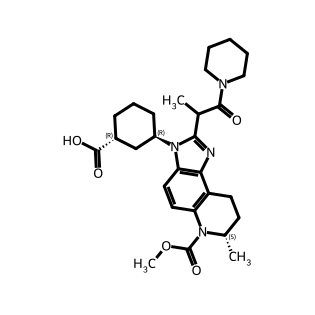 COC(=O)N1c2ccc3c(nc(C(C)C(=O)N4CCCCC4)n3[C@@H]3CCC[C@@H](C(=O)O)C3)c2CC[C@@H]1C